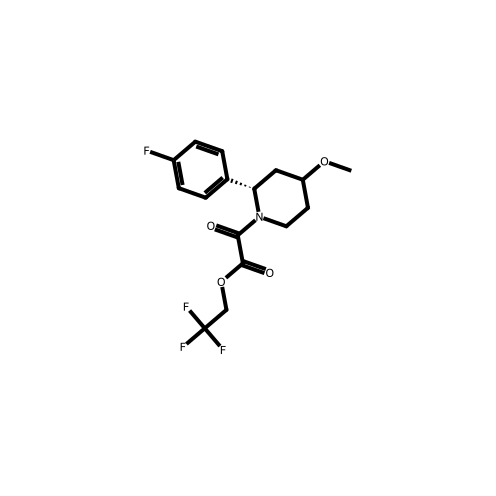 COC1CCN(C(=O)C(=O)OCC(F)(F)F)[C@H](c2ccc(F)cc2)C1